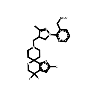 CC(=O)NCc1cccnc1N1CC(CN2CCC3(CC2)OCC(F)(F)c2cc(Cl)sc23)C(C)=N1